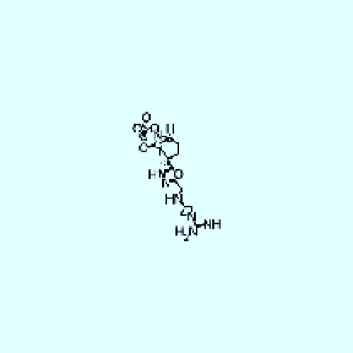 N=C(N)N1CC(NCc2nnc([C@@H]3CC[C@@H]4CN3C(=O)N4OS(=O)(=O)[O-])o2)C1.[H+]